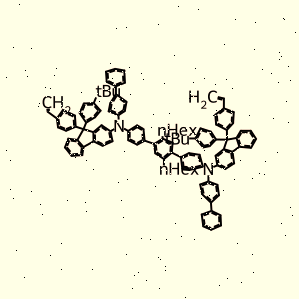 C=Cc1ccc(C2(c3ccc(C(C)(C)C)cc3)c3ccccc3-c3ccc(N(c4ccc(-c5ccccc5)cc4)c4ccc(-c5cc(CCCCCC)c(-c6ccc(N(c7ccc(-c8ccccc8)cc7)c7ccc8c(c7)C(c7ccc(C=C)cc7)(c7ccc(C(C)(C)C)cc7)c7ccccc7-8)cc6)cc5CCCCCC)cc4)cc32)cc1